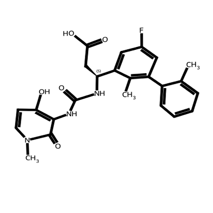 Cc1ccccc1-c1cc(F)cc([C@H](CC(=O)O)NC(=O)Nc2c(O)ccn(C)c2=O)c1C